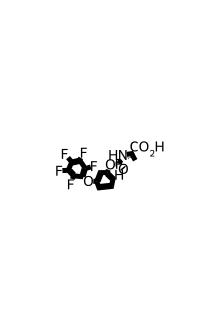 C[C@H](N[PH](=O)Oc1cccc(Oc2c(F)c(F)c(F)c(F)c2F)c1)C(=O)O